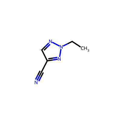 CCn1n[c]c(C#N)n1